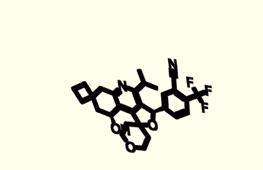 CC(C)c1nc2c(c3c1[C@@H](c1ccc(C(F)(F)F)c(C#N)c1)OC31CCOCC1)[C@@H](O)CC1(CCC1)C2